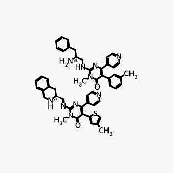 Cc1cccc(-c2c(-c3ccncc3)nc(NC[C@@H](N)Cc3ccccc3)n(C)c2=O)c1.Cc1csc(-c2c(-c3ccncc3)nc(N=C[C@@H]3Cc4ccccc4CN3)n(C)c2=O)c1